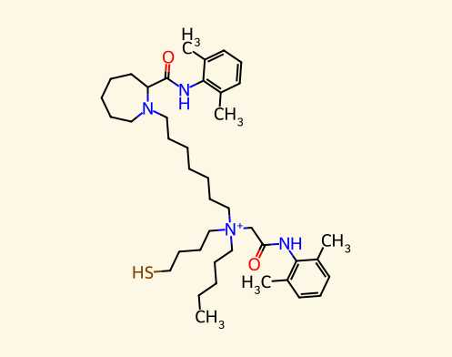 CCCCC[N+](CCCCS)(CCCCCCCN1CCCCCC1C(=O)Nc1c(C)cccc1C)CC(=O)Nc1c(C)cccc1C